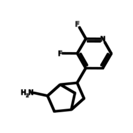 NC1CC2CC(c3ccnc(F)c3F)C1C2